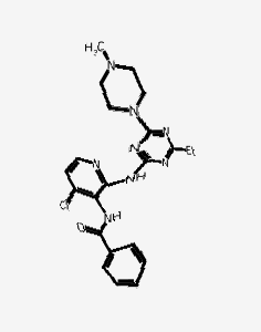 CCc1nc(Nc2nccc(Cl)c2NC(=O)c2ccccc2)nc(N2CCN(C)CC2)n1